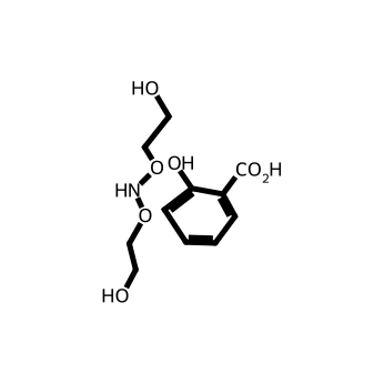 O=C(O)c1ccccc1O.OCCONOCCO